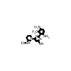 CCCc1cc(N2CCCC(NCC)C2)nc(-c2c(N)ccc(N)c2C(F)(F)F)n1